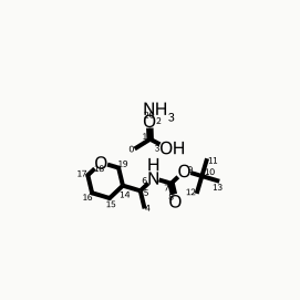 CC(=O)O.CC(NC(=O)OC(C)(C)C)C1CCCOC1.N